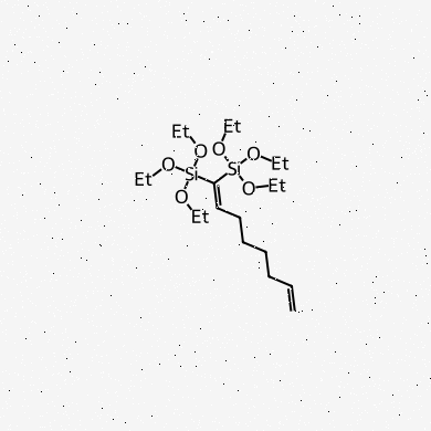 C=CCCCCC=C([Si](OCC)(OCC)OCC)[Si](OCC)(OCC)OCC